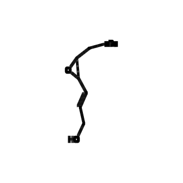 CCCCCC1OC1C=CCO